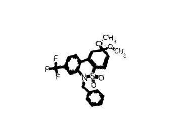 COC1(OC)C=CC2=C(C1)c1ccc(C(F)(F)F)cc1N(Cc1ccccc1)S2(=O)=O